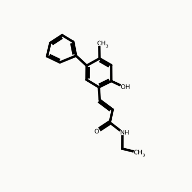 CCNC(=O)/C=C/c1cc(-c2ccccc2)c(C)cc1O